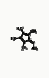 CC=C1C(C)=C(C)C(C)=C1C